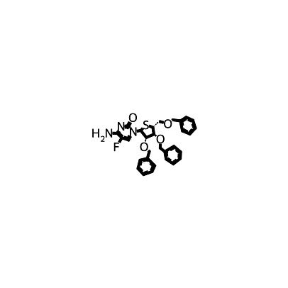 Nc1nc(=O)n(C2S[C@H](COCc3ccccc3)[C@@H](OCc3ccccc3)[C@@H]2OCc2ccccc2)cc1F